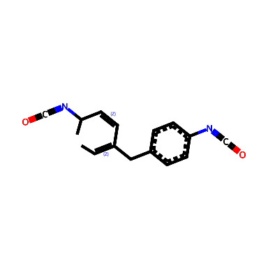 C/C=C(\C=C/C(C)N=C=O)Cc1ccc(N=C=O)cc1